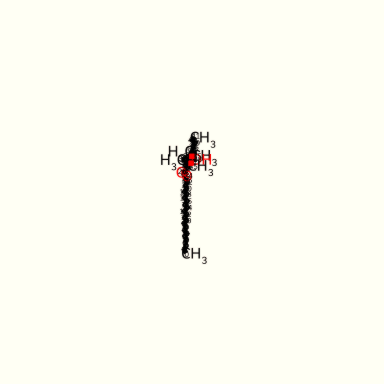 CCCCCCCCCCCCCCCCCCCCCCCCOC(=O)CCc1c(C)cc(C(C)(C)CCCCC)c(O)c1C